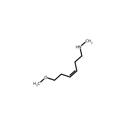 CNCC/C=C\CCOC